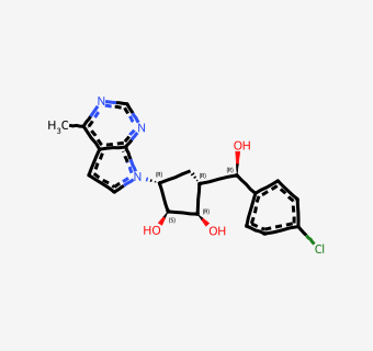 Cc1ncnc2c1ccn2[C@@H]1C[C@H]([C@@H](O)c2ccc(Cl)cc2)[C@@H](O)[C@H]1O